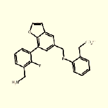 CCOC(=O)Cc1ccccc1NCc1cc(-c2cccc(CN)c2F)c2occc2c1